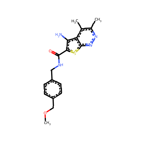 COCc1ccc(CNC(=O)c2sc3nnc(C)c(C)c3c2N)cc1